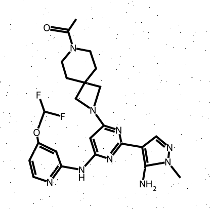 CC(=O)N1CCC2(CC1)CN(c1cc(Nc3cc(OC(F)F)ccn3)nc(-c3cnn(C)c3N)n1)C2